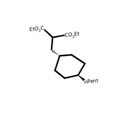 CCCCC[C@H]1CC[C@H](CC(C(=O)OCC)C(=O)OCC)CC1